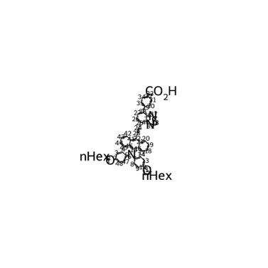 CCCCCCOc1ccc(N(c2ccc(OCCCCCC)cc2)c2c3ccccc3c(C#Cc3ccc(-c4ccc(C(=O)O)cc4)c4nsnc34)c3ccccc23)cc1